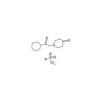 O=C1CC[S+](CC(=O)C2CCCCC2)CC1.O=S(=O)([O-])C(F)(F)F